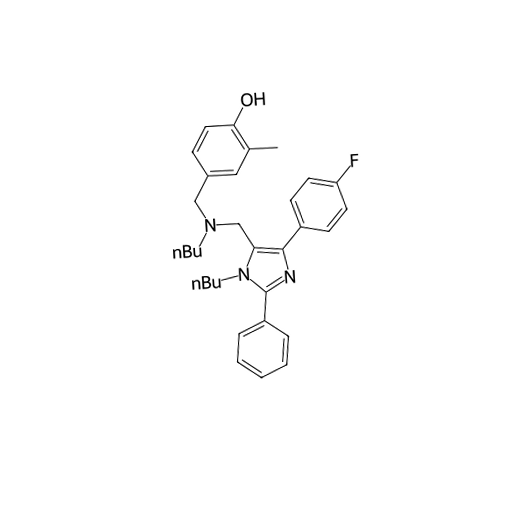 CCCCN(Cc1ccc(O)c(C)c1)Cc1c(-c2ccc(F)cc2)nc(-c2ccccc2)n1CCCC